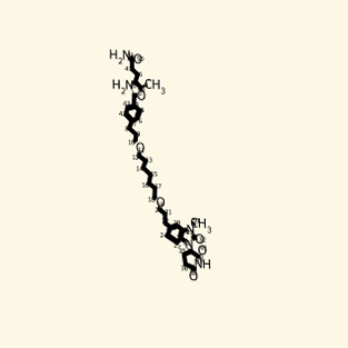 C[C@@H](OCc1ccc(CCCOCCCCCCCOCCCc2ccc3c(c2)n(C)c(=O)n3C2CCC(=O)NC2=O)cc1)[C@@H](N)CCC(N)=O